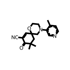 Cc1ccncc1N1CCOC2(C=C(C#N)C(=O)C(C)(C)C2)C1